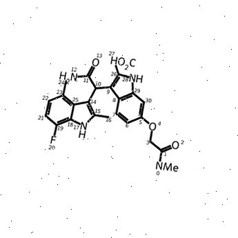 CNC(=O)COc1ccc2c(C(C(N)=O)c3c(C)[nH]c4c(F)ccc(C)c34)c(C(=O)O)[nH]c2c1